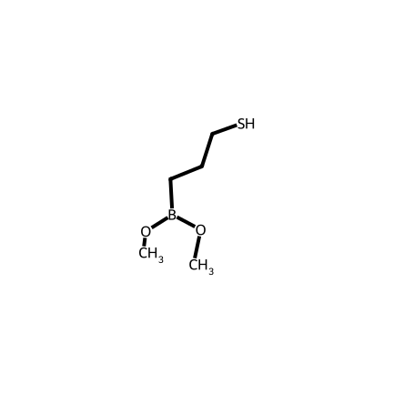 COB(CCCS)OC